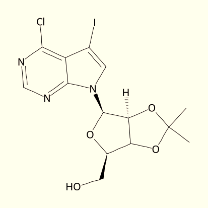 CC1(C)OC2[C@@H](CO)O[C@@H](n3cc(I)c4c(Cl)ncnc43)[C@H]2O1